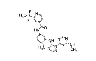 CNc1cc(-n2ncnc2Nc2cc(NC(=O)c3ccnc(C(C)(F)F)c3)ccc2C)ncn1